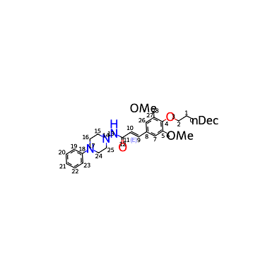 CCCCCCCCCCCCOc1c(OC)cc(/C=C/C(=O)NN2CCN(c3ccccc3)CC2)cc1OC